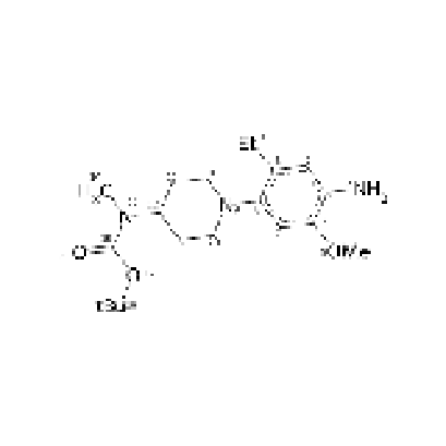 CCc1cc(N)c(OC)cc1N1CCC(N(C)C(=O)OC(C)(C)C)CC1